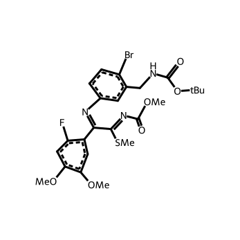 COC(=O)N=C(SC)C(=Nc1ccc(Br)c(CNC(=O)OC(C)(C)C)c1)c1cc(OC)c(OC)cc1F